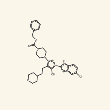 O=C(OCc1ccccc1)N1CCC(c2nn(-c3nc4cc(Cl)ccc4[nH]3)c(O)c2CCC2CCOCC2)CC1